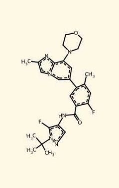 Cc1cn2cc(-c3cc(C(=O)Nc4cnn(C(C)(C)C)c4F)c(F)cc3C)cc(N3CCOCC3)c2n1